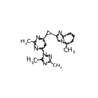 Cc1nc(C2CC2c2cn3c(C)cccc3n2)cc(-n2nc(C)nc2C)n1